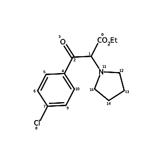 CCOC(=O)C(C(=O)c1ccc(Cl)cc1)N1CCCC1